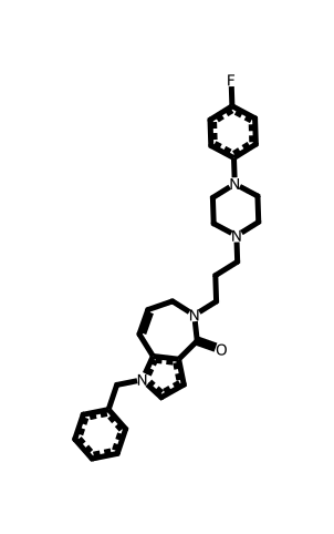 O=C1c2ccn(Cc3ccccc3)c2C=CCN1CCCN1CCN(c2ccc(F)cc2)CC1